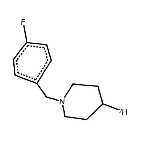 [2H]C1CCN(Cc2ccc(F)cc2)CC1